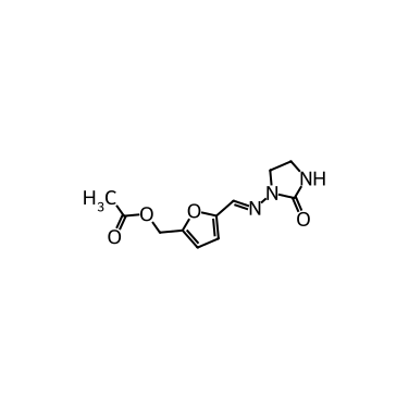 CC(=O)OCc1ccc(C=NN2CCNC2=O)o1